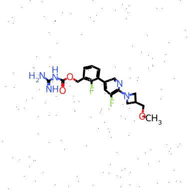 COCC1CN(c2ncc(-c3cccc(COC(=O)NC(=N)N)c3F)cc2F)C1